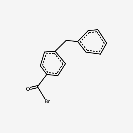 O=C(Br)c1ccc(Cc2ccccc2)cc1